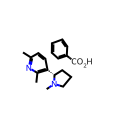 Cc1ccc([C@@H]2CCCN2C)c(C)n1.O=C(O)c1ccccc1